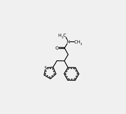 CN(C)C(=O)CC(Cc1cccs1)c1ccccc1